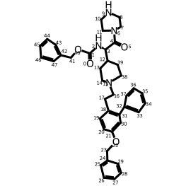 O=C(N[C@@H](C(=O)N1CCNCC1)C1CCN(CCc2ccc(OCc3ccccc3)cc2-c2ccccc2)CC1)OCc1ccccc1